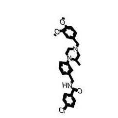 COc1ccc(CN2CCN(c3cccc(CNC(=O)c4ccc(Cl)cc4)c3)C(C)C2)cc1OC